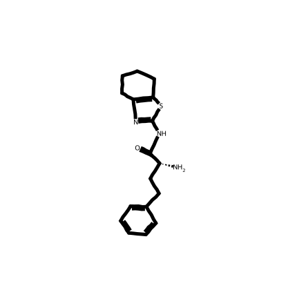 N[C@H](CCc1ccccc1)C(=O)Nc1nc2c(s1)CCCC2